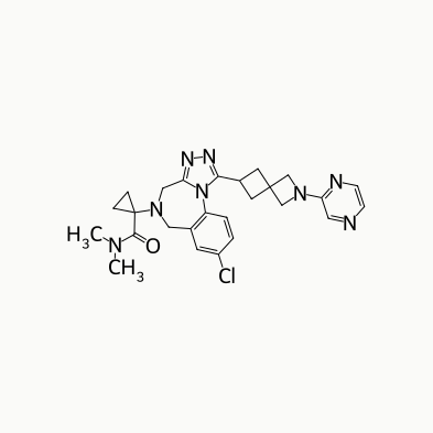 CN(C)C(=O)C1(N2Cc3cc(Cl)ccc3-n3c(nnc3C3CC4(C3)CN(c3cnccn3)C4)C2)CC1